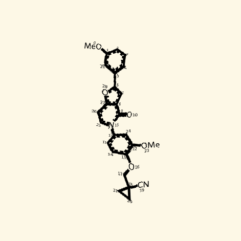 COc1cccc(-c2cc3c(=O)n(-c4ccc(OCC5(C#N)CC5)c(OC)c4)ccc3o2)c1